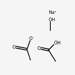 CC(=O)O.CC(=O)[O-].CO.[Na+]